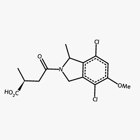 COc1cc(Cl)c2c(c1Cl)CN(C(=O)C[C@H](C)C(=O)O)C2C